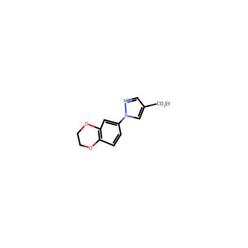 CCOC(=O)c1cnn(-c2ccc3c(c2)OCCO3)c1